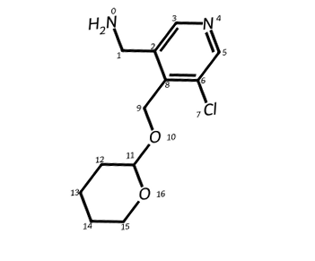 NCc1cncc(Cl)c1COC1CCCCO1